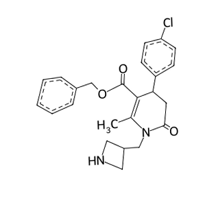 CC1=C(C(=O)OCc2ccccc2)C(c2ccc(Cl)cc2)CC(=O)N1CC1CNC1